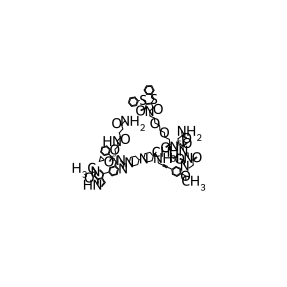 COc1ccc(C#CCNC2(C)CCN(C3CCN(c4nc([C@@](COCNC(=O)CCC(N)=O)(OC5CC5)c5ccccc5)c5cc(-c6cn(C)c(=O)c7[nH]ccc67)ccc5n4)CC3)CC2)cc1N1CCC(=O)N(CNC(=O)[C@H](CC(N)=O)NC(=O)CCOCCOCCN2C(=O)C(Sc3ccccc3)=C(Sc3ccccc3)C2=O)C1=O